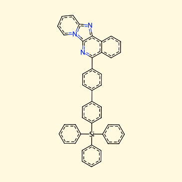 c1ccc([Si](c2ccccc2)(c2ccccc2)c2ccc(-c3ccc(-c4nc5c(nc6ccccn65)c5ccccc45)cc3)cc2)cc1